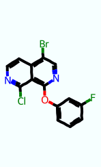 Fc1cccc(Oc2ncc(Br)c3ccnc(Cl)c23)c1